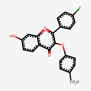 O=C(O)c1ccc(Oc2c(-c3ccc(F)cc3)oc3cc(O)ccc3c2=O)cc1